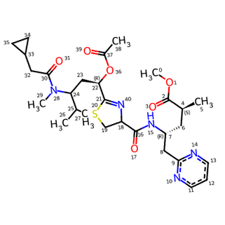 COC(=O)[C@@H](C)C[C@H](Cc1ncccn1)NC(=O)C1CSC([C@@H](CC(C(C)C)N(C)C(=O)CC2CC2)OC(C)=O)=N1